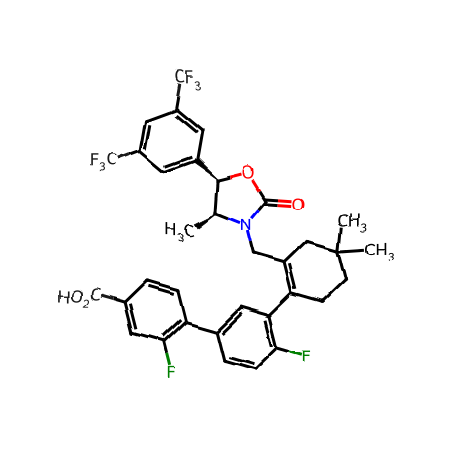 C[C@H]1[C@@H](c2cc(C(F)(F)F)cc(C(F)(F)F)c2)OC(=O)N1CC1=C(c2cc(-c3ccc(C(=O)O)cc3F)ccc2F)CCC(C)(C)C1